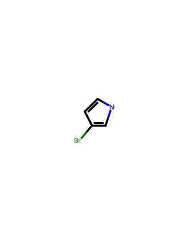 BrC1=C[N]C=C1